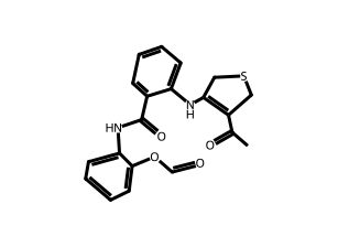 CC(=O)C1=C(Nc2ccccc2C(=O)Nc2ccccc2OC=O)CSC1